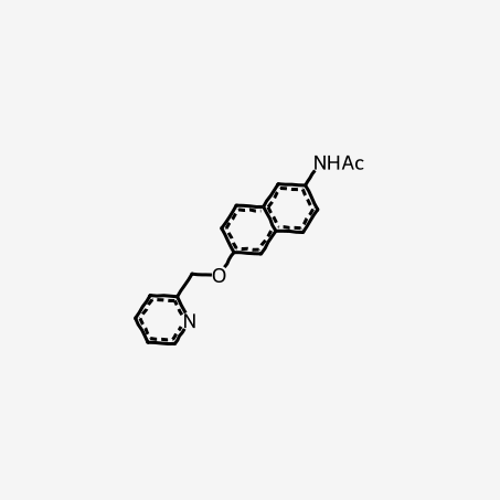 CC(=O)Nc1ccc2cc(OCc3ccccn3)ccc2c1